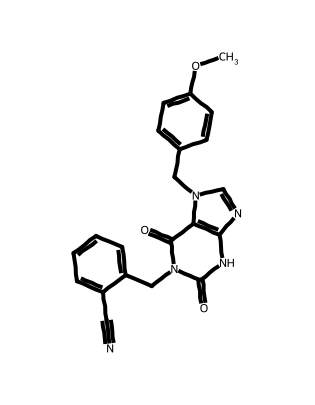 COc1ccc(Cn2cnc3[nH]c(=O)n(Cc4ccccc4C#N)c(=O)c32)cc1